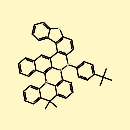 CC(C)(C)c1ccc(N2B3c4cccc5c4N(c4ccccc4C5(C)C)c4c3c(cc3ccccc43)-c3c2ccc2sc4ccccc4c32)cc1